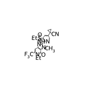 CCn1c(C(F)(F)F)cc2nc(-c3ncc(C4(C#N)CC4)cc3[S@@](=N)(=O)CC)n(C)c2c1=O